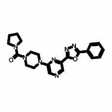 O=C(N1CCCC1)N1CCN(c2cncc(-c3nnc(-c4ccccc4)o3)n2)CC1